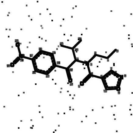 CCCN(C(=O)c1cnoc1)C(C(=O)c1ccc([N+](=O)[O-])cc1)C(C)C